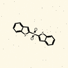 O=S(=O)(c1cc2ccccc2s1)c1cc2ccccc2s1